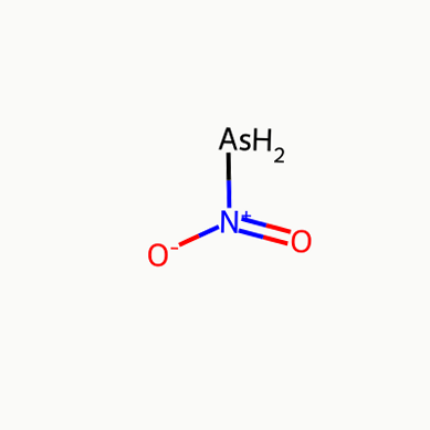 O=[N+]([O-])[AsH2]